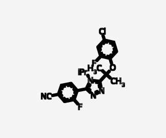 CC(C)n1c(-c2ccc(C#N)cc2F)nnc1C(C)(C)Oc1ccc(Cl)cc1F